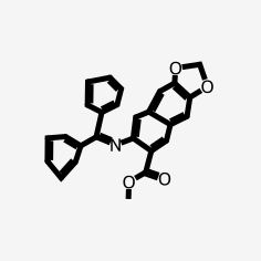 COC(=O)c1cc2cc3c(cc2cc1N=C(c1ccccc1)c1ccccc1)OCO3